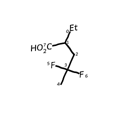 CCC(CC(C)(F)F)C(=O)O